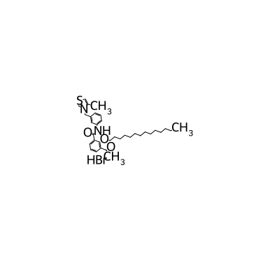 Br.CCCCCCCCCCCCCCOc1c(C(C)=O)cccc1C(=O)Nc1cccc(CN2CSC=C2C)c1